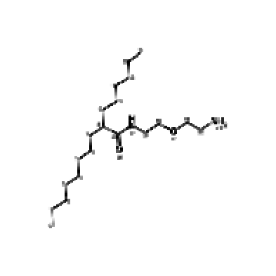 CCCCCCCCC(CCCCCC)C(=O)NCCOCCN